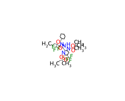 C=CCC(OCc1ccccc1)(c1nnc(-c2nc(S(=O)(=O)C(C)CC)c(C(F)(F)F)cc2NC(=O)OC(C)(C)C)o1)C(F)(F)F